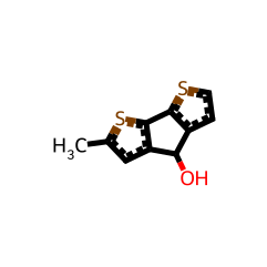 Cc1cc2c(s1)-c1sccc1C2O